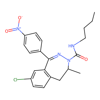 CCCCNC(=O)N1N=C(c2ccc([N+](=O)[O-])cc2)c2cc(Cl)ccc2CC1C